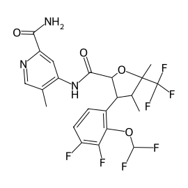 Cc1cnc(C(N)=O)cc1NC(=O)C1OC(C)(C(F)(F)F)C(C)C1c1ccc(F)c(F)c1OC(F)F